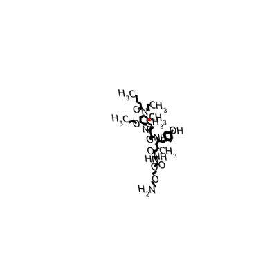 CCCCC(=O)N(CCC)C(CC(OCCC)c1nc(C(=O)NC(Cc2ccc(O)cc2)C[C@H](C)C(=O)NNC(=O)OCCOCCN)cs1)C(C)C